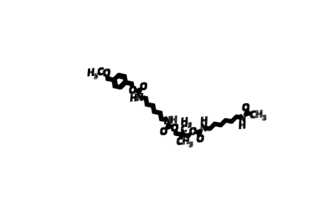 COCc1ccc(COC(=O)NCCCCCCNC(=O)OCC(C)(C)COC(=O)NCCCCCCNC(C)=O)cc1